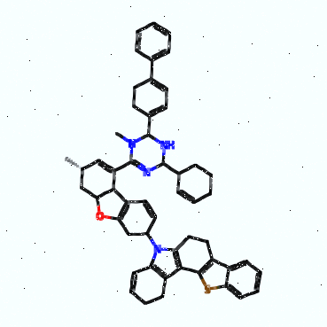 C[C@@H]1C=C(C2=NC(C3C=CCCC3)NC(C3=CC=C(c4ccccc4)CC3)N2C)C2C3=C(CC(n4c5c(c6c4CCc4c-6sc6ccccc46)CCC=C5)C=C3)OC2C1